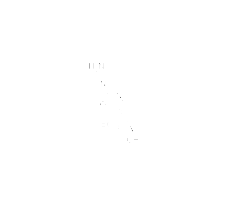 CCO[C@@]1(CO)CC[C@H](n2ccc(N)nc2=O)O1